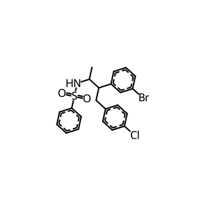 CC(NS(=O)(=O)c1ccccc1)C(Cc1ccc(Cl)cc1)c1cccc(Br)c1